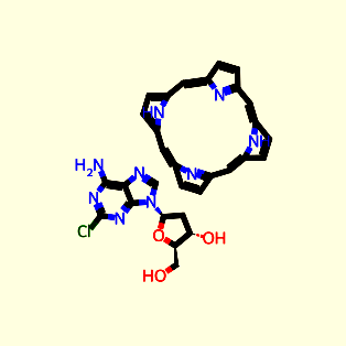 C1=Cc2cc3ccc(cc4nc(cc5ccc(cc1n2)[nH]5)C=C4)[nH]3.Nc1nc(Cl)nc2c1ncn2[C@H]1C[C@H](O)[C@@H](CO)O1